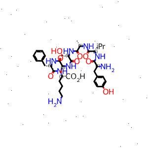 CC(C)[C@H](NC(=O)[C@@H](N)Cc1ccc(O)cc1)C(=O)N[C@@H](C)C(=O)N[C@@H](CO)C(=O)N[C@@H](C)C(=O)N[C@@H](Cc1ccccc1)C(=O)N[C@@H](CCCCN)C(=O)O